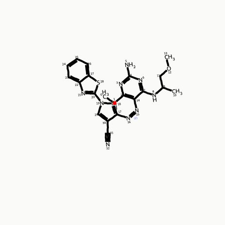 CNc1nc(N)nc(NC(C)COC)c1/N=N\c1nn(-c2nc3ccccc3s2)cc1C#N